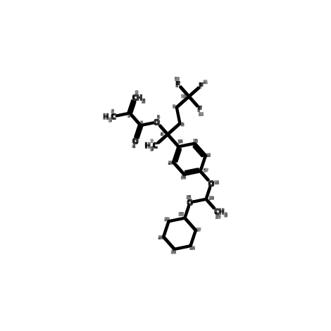 C=C(C)C(=O)OC(C)(CCC(F)(F)F)c1ccc(OC(C)OC2CCCCC2)cc1